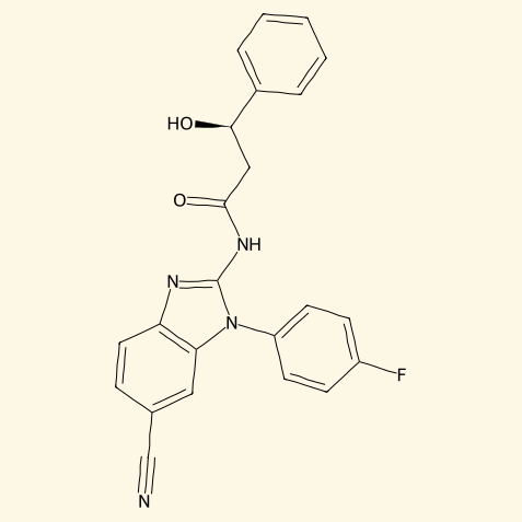 N#Cc1ccc2nc(NC(=O)C[C@@H](O)c3ccccc3)n(-c3ccc(F)cc3)c2c1